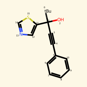 CC(C)(C)C(O)(C#Cc1ccccc1)c1cncs1